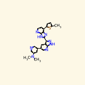 Cc1ccc(-c2ccnc3[nH]c(-c4n[nH]c5ncc(-c6cncc(N(C)C)c6)cc45)nc23)s1